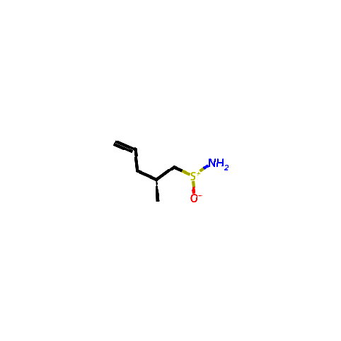 C=CC[C@H](C)C[S+](N)[O-]